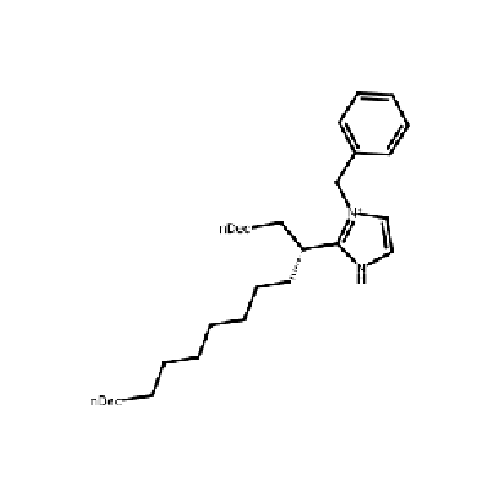 CCCCCCCCCCCCCCCCC[C@H](CCCCCCCCCCC)c1[nH]cc[n+]1Cc1ccccc1